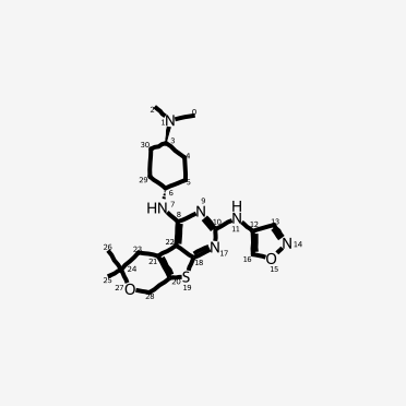 CN(C)[C@H]1CC[C@H](Nc2nc(Nc3cnoc3)nc3sc4c(c23)CC(C)(C)OC4)CC1